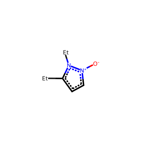 CCc1cc[n+]([O-])n1CC